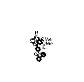 COC1=C(OC)C2=CNC=C3CSCCN3C2C(C(=O)c2ccc(NC(=O)c3ccccc3-c3ccccc3)cc2)C1.Cl